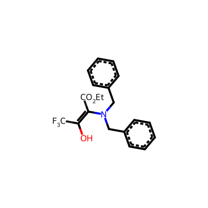 CCOC(=O)/C(=C(/O)C(F)(F)F)N(Cc1ccccc1)Cc1ccccc1